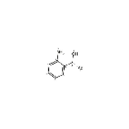 CC(=O)[C@@H](O)c1ccccc1N